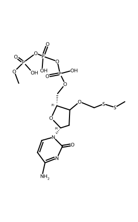 COP(=O)(O)OP(=O)(O)OP(=O)(O)OC[C@H]1O[C@@H](n2ccc(N)nc2=O)CC1OCSSC